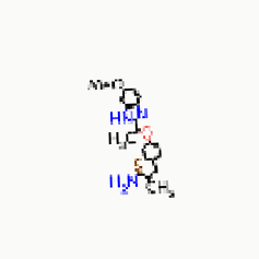 COc1ccc2nc(C(C)Oc3ccc(CC(C)C(N)=S)cc3)[nH]c2c1